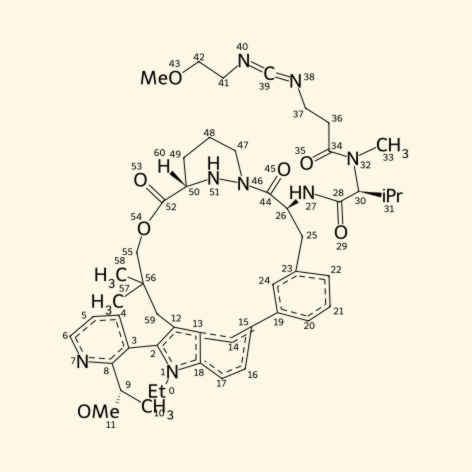 CCn1c(-c2cccnc2[C@H](C)OC)c2c3cc(ccc31)-c1cccc(c1)C[C@H](NC(=O)[C@H](C(C)C)N(C)C(=O)CCN=C=NCCOC)C(=O)N1CCC[C@H](N1)C(=O)OCC(C)(C)C2